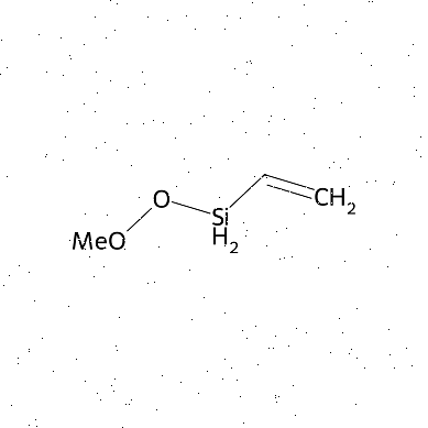 C=C[SiH2]OOC